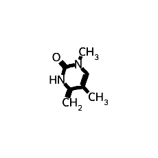 C=C1NC(=O)N(C)C=C1C